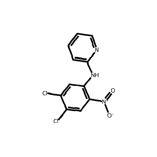 O=[N+]([O-])c1cc(Cl)c(Cl)cc1Nc1ccccn1